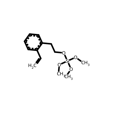 C=Cc1ccccc1CCO[Si](OC)(OC)OC